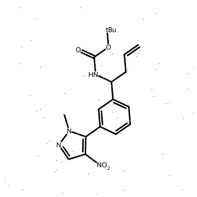 C=CCC(NC(=O)OC(C)(C)C)c1cccc(-c2c([N+](=O)[O-])cnn2C)c1